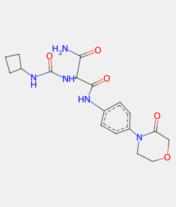 NC(=O)[C@H](NC(=O)NC1CCC1)C(=O)Nc1ccc(N2CCOCC2=O)cc1